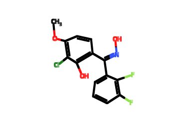 COc1ccc(/C(=N\O)c2cccc(F)c2F)c(O)c1Cl